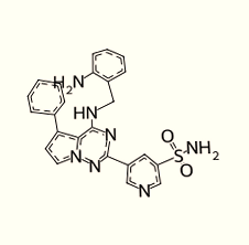 Nc1ccccc1CNc1nc(-c2cncc(S(N)(=O)=O)c2)nn2ccc(-c3ccccc3)c12